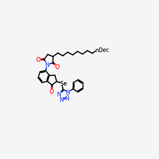 CCCCCCCCCCCCCCCCCCC1CC(=O)N(c2cccc3c2CC([Se]c2nnnn2-c2ccccc2)C3=O)C1=O